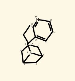 CCN1CC2CC(C1)N2Cc1cccnc1